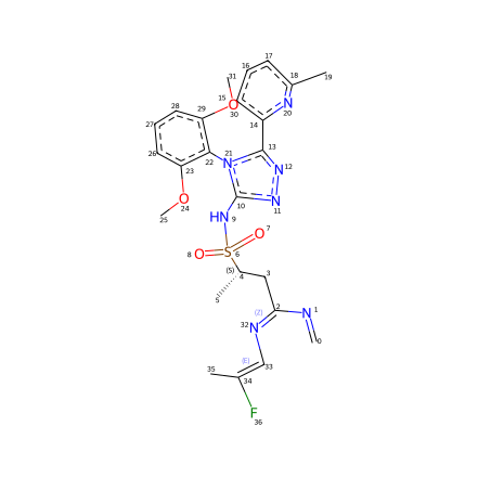 C=N/C(C[C@H](C)S(=O)(=O)Nc1nnc(-c2cccc(C)n2)n1-c1c(OC)cccc1OC)=N\C=C(/C)F